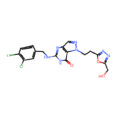 O=c1[nH]c(NCc2ccc(Cl)c(Cl)c2)nc2cnn(CCc3nnc(CO)o3)c12